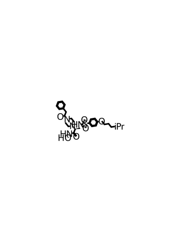 CC(C)CCCOc1ccc(S(=O)(=O)NC[C@@H](C(=O)NO)N2CCN(C(=O)Cc3ccccc3)CC2)cc1